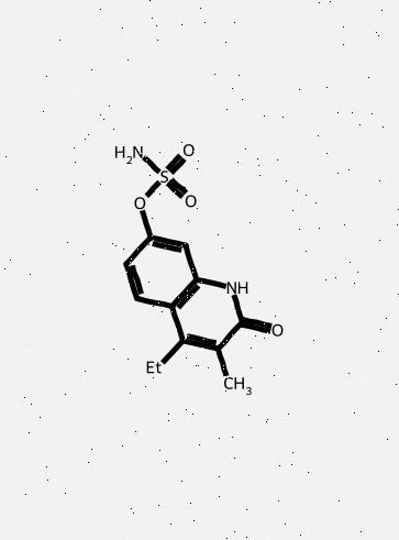 CCc1c(C)c(=O)[nH]c2cc(OS(N)(=O)=O)ccc12